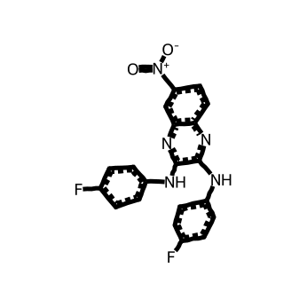 O=[N+]([O-])c1ccc2nc(Nc3ccc(F)cc3)c(Nc3ccc(F)cc3)nc2c1